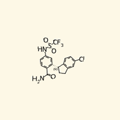 NC(=O)c1ccc(NS(=O)(=O)C(F)(F)F)cc1[C@H]1CCc2cc(Cl)ccc21